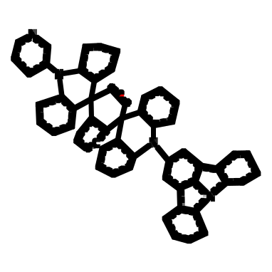 c1cncc(N2c3ccccc3C3(c4ccccc42)c2ccccc2C2(c4ccccc4N(c4cc5c6ccccc6n6c7ccccc7c(c4)c56)c4ccccc42)c2ccccc23)c1